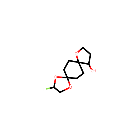 OC1CCOC12CCC1(CC2)OCC(F)O1